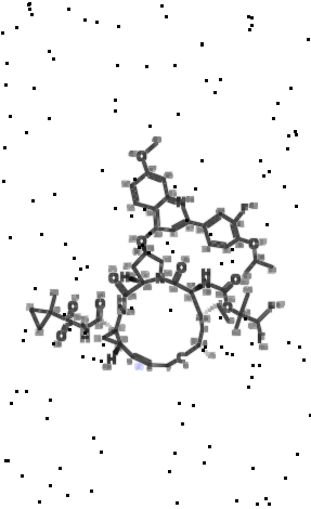 CC[C@@H]1C[C@H](C)CC/C=C\[C@@H]2C[C@@]2(C(=O)NS(=O)(=O)C2(C)CC2)NC(=O)[C@@H]2C[C@@H](Oc3cc(-c4ccc(OC(C)C)c(F)c4)nc4cc(OC)ccc34)CN2C(=O)[C@H]1NC(=O)OC(C)(C)C(F)F